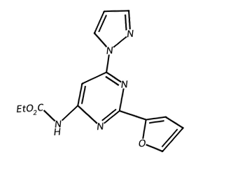 CCOC(=O)Nc1cc(-n2cccn2)nc(-c2ccco2)n1